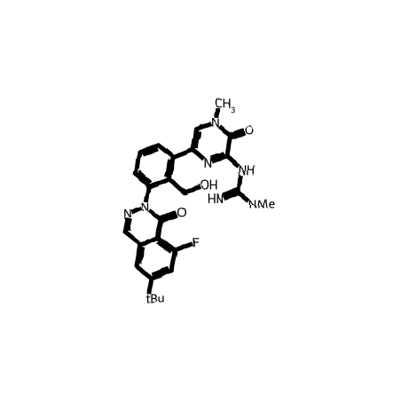 CNC(=N)Nc1nc(-c2cccc(-n3ncc4cc(C(C)(C)C)cc(F)c4c3=O)c2CO)cn(C)c1=O